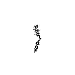 Cc1cc(CCC(C)CCc2ccc(C(=O)NCCC(=O)O)cc2)cc(C)c1-c1ccc(C(F)(F)F)cc1